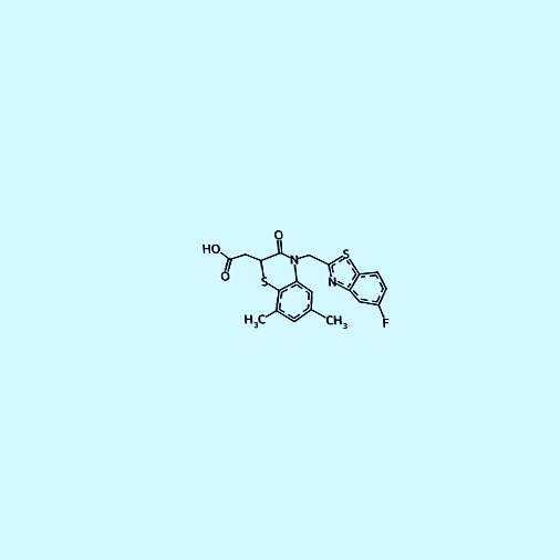 Cc1cc(C)c2c(c1)N(Cc1nc3cc(F)ccc3s1)C(=O)C(CC(=O)O)S2